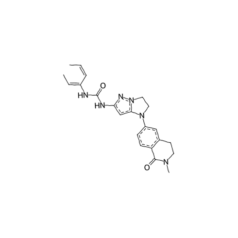 C/C=C\C(=C/C)NC(=O)Nc1cc2n(n1)CCN2c1ccc2c(c1)CCN(C)C2=O